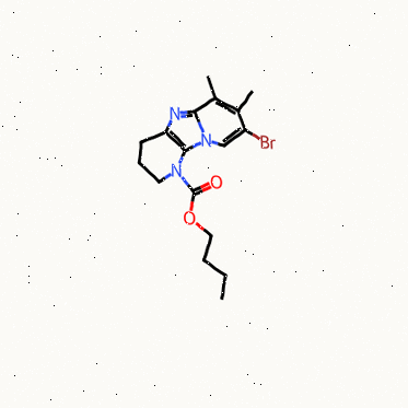 CCCCOC(=O)N1CCCc2nc3c(C)c(C)c(Br)cn3c21